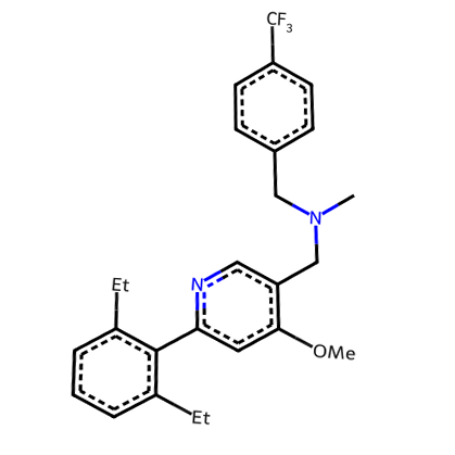 CCc1cccc(CC)c1-c1cc(OC)c(CN(C)Cc2ccc(C(F)(F)F)cc2)cn1